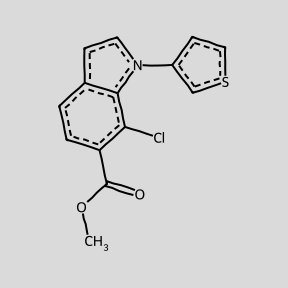 COC(=O)c1ccc2ccn(-c3ccsc3)c2c1Cl